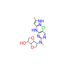 Cc1cc(Nc2nc(N(C)C3COC4C(O)COC43)ncc2Cl)n[nH]1